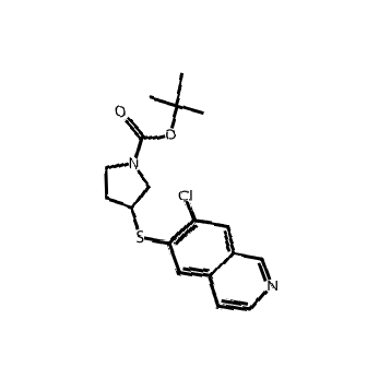 CC(C)(C)OC(=O)N1CCC(Sc2cc3ccncc3cc2Cl)C1